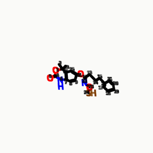 CC1(C)OC(=O)Nc2ccc(OC(CCCc3ccccc3)=NOS)cc21